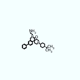 CC(C)[C@H]1CC[C@@H](N2CCC3(CC2)C(=O)N(CCN)Cc2cc(-c4ccccc4)ccc23)CC1